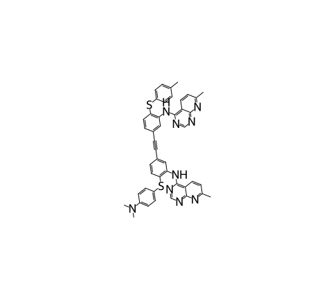 Cc1ccc(Sc2ccc(C#Cc3ccc(Sc4ccc(N(C)C)cc4)c(Nc4ncnc5nc(C)ccc45)c3)cc2Nc2ncnc3nc(C)ccc23)cc1